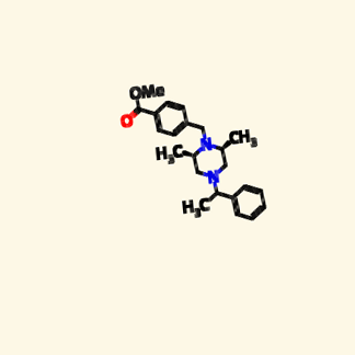 COC(=O)c1ccc(CN2[C@H](C)CN(C(C)c3ccccc3)C[C@@H]2C)cc1